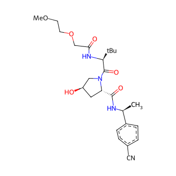 COCCOCC(=O)N[C@H](C(=O)N1C[C@H](O)C[C@H]1C(=O)N[C@@H](C)c1ccc(C#N)cc1)C(C)(C)C